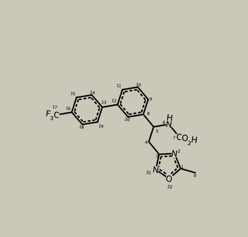 Cc1nc(CC(NC(=O)O)c2cccc(-c3ccc(C(F)(F)F)cc3)c2)no1